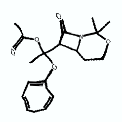 CC(=O)OC(C)(Oc1ccccc1)C1C(=O)N2C1CCOC2(C)C